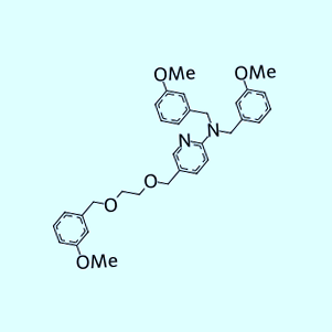 COc1cccc(COCCOCc2ccc(N(Cc3cccc(OC)c3)Cc3cccc(OC)c3)nc2)c1